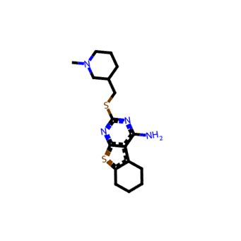 CN1CCCC(CSc2nc(N)c3c4c(sc3n2)CCCC4)C1